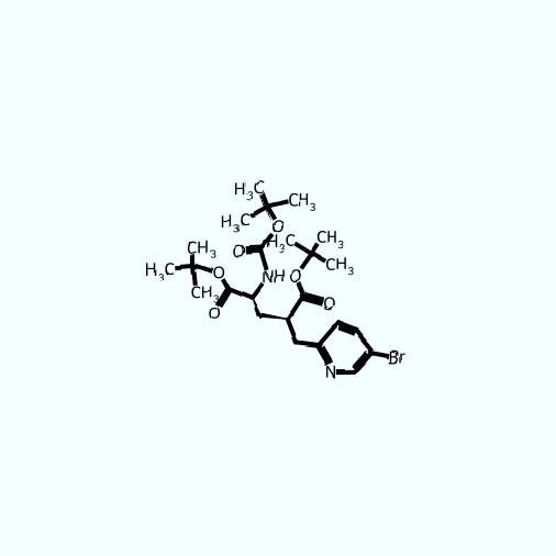 CC(C)(C)OC(=O)N[C@@H](C[C@H](Cc1ccc(Br)cn1)C(=O)OC(C)(C)C)C(=O)OC(C)(C)C